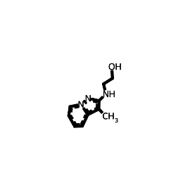 Cc1c(NCCO)nn2ccccc12